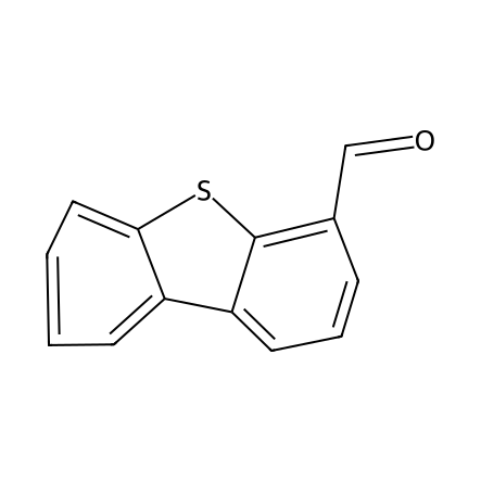 O=Cc1cccc2c1sc1ccccc12